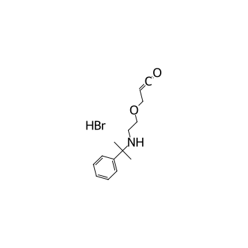 Br.CC(C)(NCCOCC=C=O)c1ccccc1